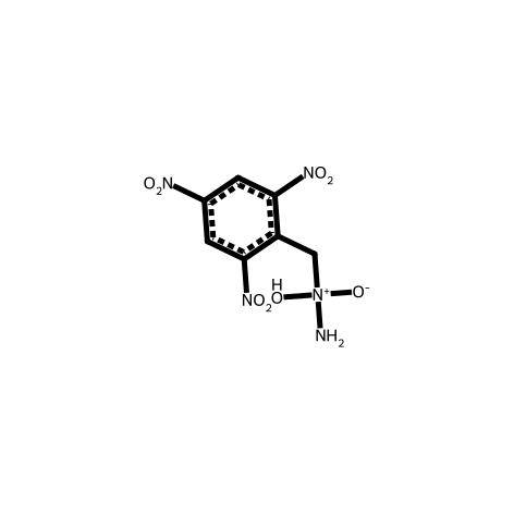 N[N+]([O-])(O)Cc1c([N+](=O)[O-])cc([N+](=O)[O-])cc1[N+](=O)[O-]